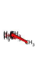 CCCCCCCCCCCCCCCCCCC(Cc1cc(C(C)(C)C)c(O)c(C(C)(C)C)c1)C(=O)O